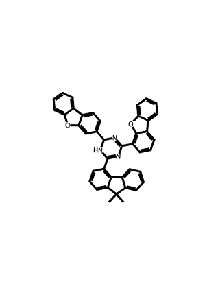 CC1(C)c2ccccc2-c2c(C3=NC(c4cccc5c4oc4ccccc45)=NC(c4ccc5c(c4)oc4ccccc45)N3)cccc21